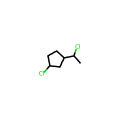 C[C](Cl)C1CCC(Cl)C1